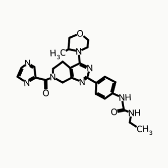 CCNC(=O)Nc1ccc(-c2nc3c(c(N4CCOCC4C)n2)CCN(C(=O)c2cnccn2)C3)cc1